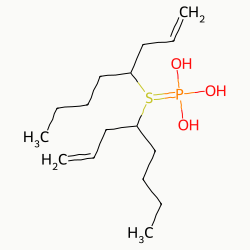 C=CCC(CCCC)S(C(CC=C)CCCC)=P(O)(O)O